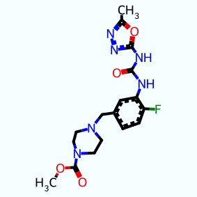 COC(=O)N1CCN(Cc2ccc(F)c(NC(=O)Nc3nnc(C)o3)c2)CC1